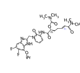 CC(C)Oc1c(F)c(F)cc2nc(Cn3cccc(NC(=O)[C@H](CC/C=C/C(=O)N(C)C)OC(=O)N(C)C)c3=O)[nH]c12